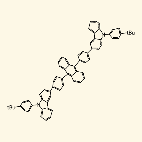 CC(C)(C)c1ccc(-n2c3ccccc3c3cc(-c4ccc(-c5c6ccccc6c(-c6ccc(-c7ccc8c(c7)c7ccccc7n8-c7ccc(C(C)(C)C)cc7)cc6)c6ccccc56)cc4)ccc32)cc1